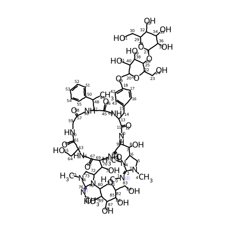 C/N=C1/N(C)CC(C(O)C2NC(=O)C(Cc3ccc(OC4OC(CO)C(OC5OC(CO)C(O)C(O)C5O)C(O)C4O)cc3)NC(=O)C(C(C)c3ccccc3)NC(=O)CNC(=O)C(CO)NC(=O)C(C(O)C3CN(C)/C(=N/C)N3C3OC(CO)C(O)C(O)C3O)NC2=O)N1C